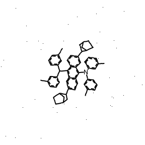 Cc1cccc(C(c2cccc(C)c2)c2c3cc(C4CC5CCC4C5)ccc3c(N(c3cccc(C)c3)c3cccc(C)c3)c3cc(C4CC5CCC4C5)ccc23)c1